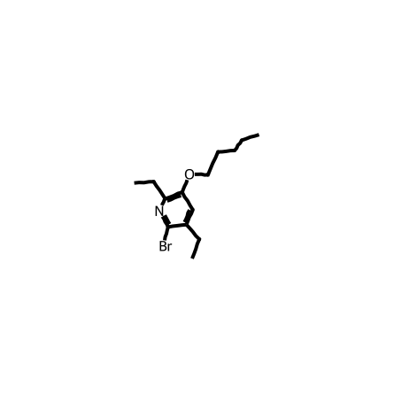 CCCCCOc1cc(CC)c(Br)nc1CC